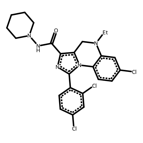 CCN1Cc2c(C(=O)NN3CCCCC3)nc(-c3ccc(Cl)cc3Cl)n2-c2ccc(Cl)cc21